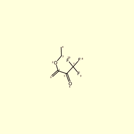 C=C(OCC)C(=O)C(F)(F)F